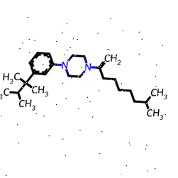 C=C(CCCCCC(C)C)N1CCN(c2cccc(C(C)(C)C(C)C)c2)CC1